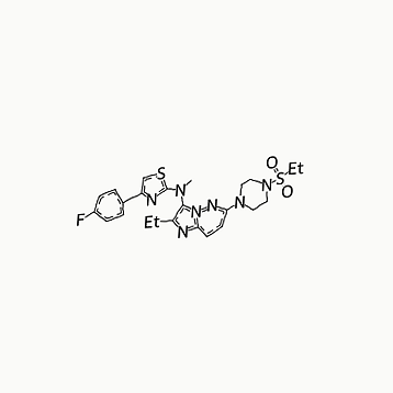 CCc1nc2ccc(N3CCN(S(=O)(=O)CC)CC3)nn2c1N(C)c1nc(-c2ccc(F)cc2)cs1